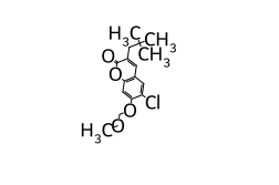 COCOc1cc2oc(=O)c(CC(C)(C)C)cc2cc1Cl